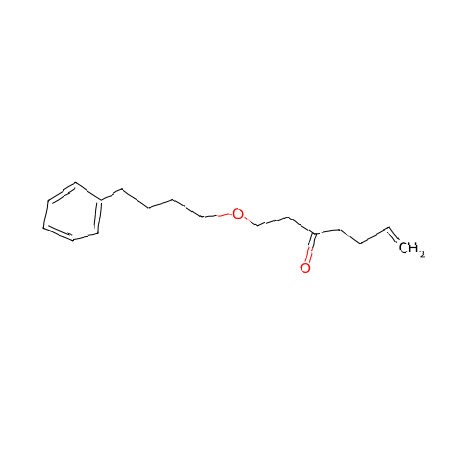 C=CCCC(=O)CCOCCCCc1ccccc1